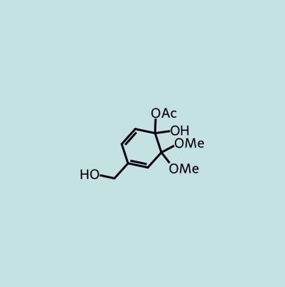 COC1(OC)C=C(CO)C=CC1(O)OC(C)=O